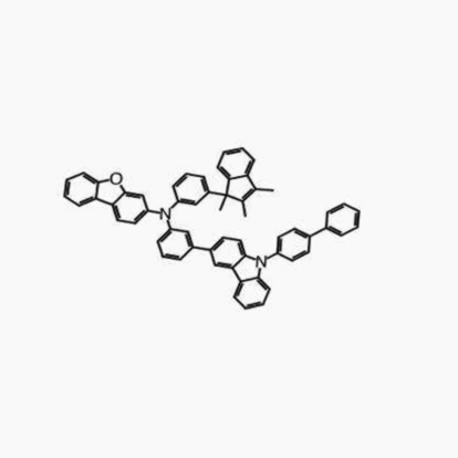 CC1=C(C)C(C)(c2cccc(N(c3cccc(-c4ccc5c(c4)c4ccccc4n5-c4ccc(-c5ccccc5)cc4)c3)c3ccc4c(c3)oc3ccccc34)c2)c2ccccc21